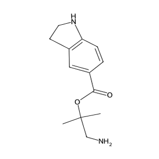 CC(C)(CN)OC(=O)c1ccc2c(c1)CCN2